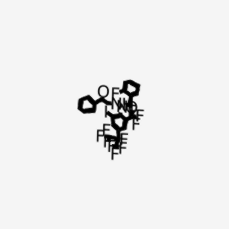 O=C(CNN(C(=O)c1ccccc1F)c1c(I)cc(C(F)(C(F)(F)F)C(F)(F)F)cc1C(F)(F)F)c1ccccc1